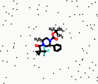 C[C@@H]1CN(C(=O)OC(C)(C)C)[C@@H](c2ccccc2)CN1C(=O)C1(C(F)(F)F)CC1